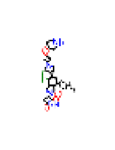 Cc1cc([C@@H]2CCN([C@H]3C[C@H](OC4CCNCC4)C3)C[C@@H]2F)c(F)c2c1C(=O)N([C@H]1CCC(=O)NC1=O)C2